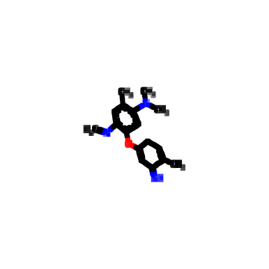 C=Nc1cc(C)c(N(C)C)cc1OC1=CC(=N)C(C)=CC1